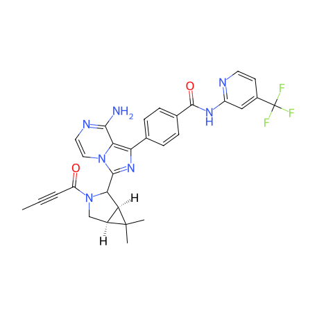 CC#CC(=O)N1C[C@H]2[C@@H](C1c1nc(-c3ccc(C(=O)Nc4cc(C(F)(F)F)ccn4)cc3)c3c(N)nccn13)C2(C)C